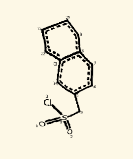 O=S(=O)(Cl)Cc1ccc2ccccc2c1